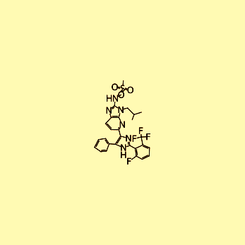 CC(C)Cn1c(NOS(C)(=O)=O)nc2ccc(-c3nc(-c4c(F)cccc4C(F)(F)F)[nH]c3-c3ccccc3)nc21